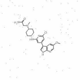 COc1cnc2[nH]cc(-c3cc(Cl)nc(N[C@H]4CC[C@H](N(C)CC(N)=O)CC4)c3)c2c1